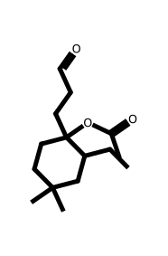 CCC1CC(C)(C)CCC1(CCC=O)OC(C)=O